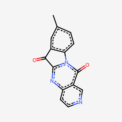 Cc1ccc2c(c1)C(=O)c1nc3ccncc3c(=O)n1-2